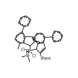 CCCC(C)C1=Cc2c(-c3ccccc3)cccc2[CH]1[Zr]([Cl])([Cl])([CH]1C(C)=Cc2c(-c3ccccc3)ccc(C)c21)[SiH](C)C